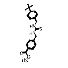 CC(C)(C)c1ccc(CNC(=S)NCc2ccc(C(=O)OS)cc2)cc1